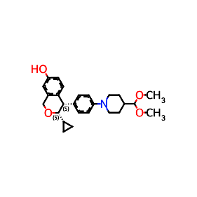 COC(OC)C1CCN(c2ccc([C@H]3c4ccc(O)cc4CO[C@H]3C3CC3)cc2)CC1